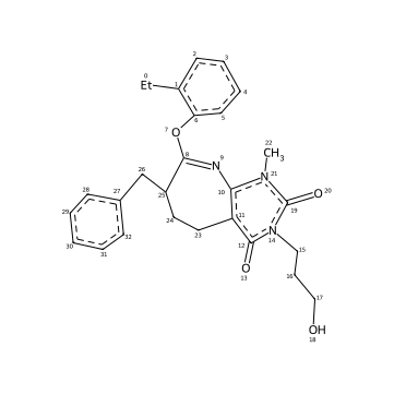 CCc1ccccc1OC1=Nc2c(c(=O)n(CCCO)c(=O)n2C)CCC1Cc1ccccc1